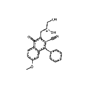 COc1ccc2c(=O)n(C[C@@H](O)CO)c(C#N)c(-c3ccccc3)c2c1